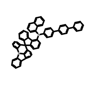 c1ccc(-c2ccc(-c3ccc(N(c4cccc5c4-c4ccccc4C54c5ccccc5-n5c6ccccc6c6cccc4c65)c4cccc5ccccc45)cc3)cc2)cc1